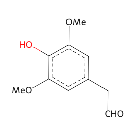 COc1cc(CC=O)cc(OC)c1O